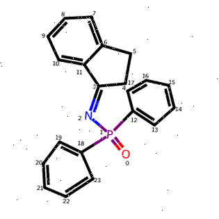 O=P(N=C1CCc2ccccc21)(c1ccccc1)c1ccccc1